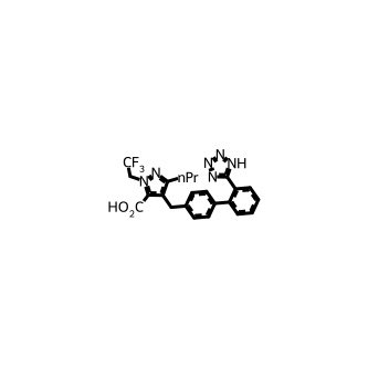 CCCc1nn(CC(F)(F)F)c(C(=O)O)c1Cc1ccc(-c2ccccc2-c2nnn[nH]2)cc1